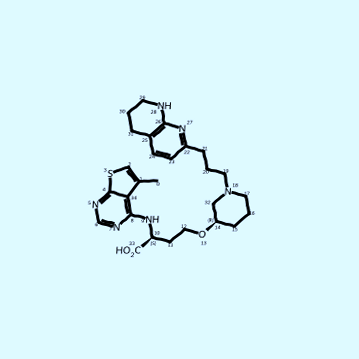 Cc1csc2ncnc(N[C@@H](CCO[C@@H]3CCCN(CCCc4ccc5c(n4)NCCC5)C3)C(=O)O)c12